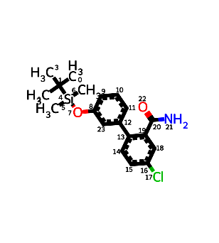 CC(C)(C)[Si](C)(C)Oc1cccc(-c2ccc(Cl)cc2C(N)=O)c1